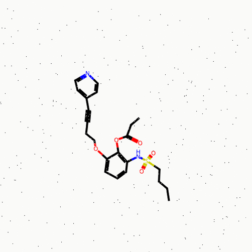 CCCCS(=O)(=O)Nc1cccc(OCCC#Cc2ccncc2)c1OC(=O)CC